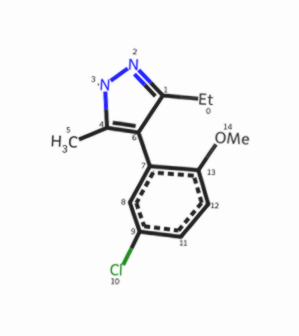 CCC1=N[N]C(C)=C1c1cc(Cl)ccc1OC